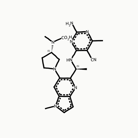 Cc1nc(N)nc(N[C@@H](C)c2nc3ccn(C)c3cc2N2CC[C@H](N(C)C(=O)O)C2)c1C#N